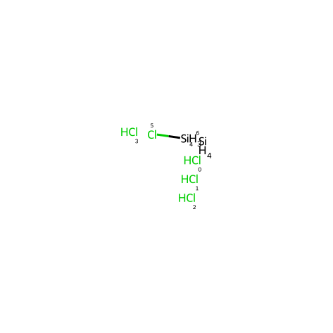 Cl.Cl.Cl.Cl.[SiH3]Cl.[SiH4]